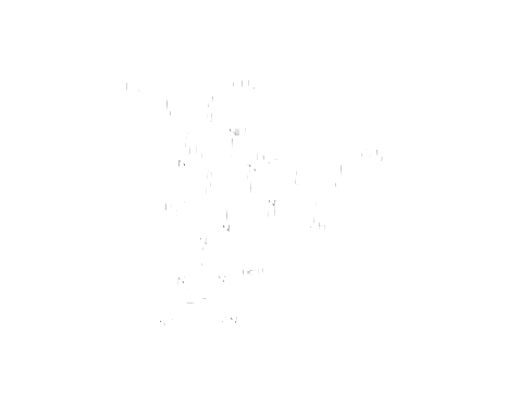 CCCCn1c(N=Nc2c(Nc3c(C)cc(C)cc3C)nc(Nc3c(C)cc(C)cc3C)c(C#N)c2C)nc(C#N)c1C#N